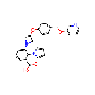 O=C(O)c1cccc(N2CC(Oc3ccc(COc4cccnc4)cc3)C2)c1-n1cccc1